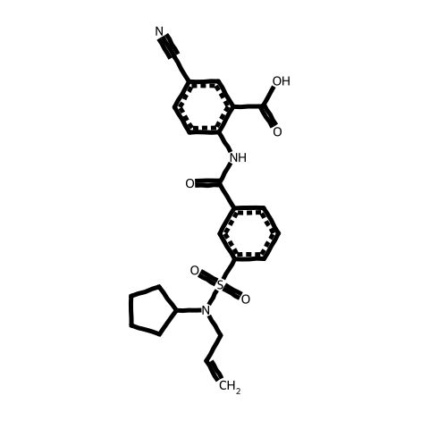 C=CCN(C1CCCC1)S(=O)(=O)c1cccc(C(=O)Nc2ccc(C#N)cc2C(=O)O)c1